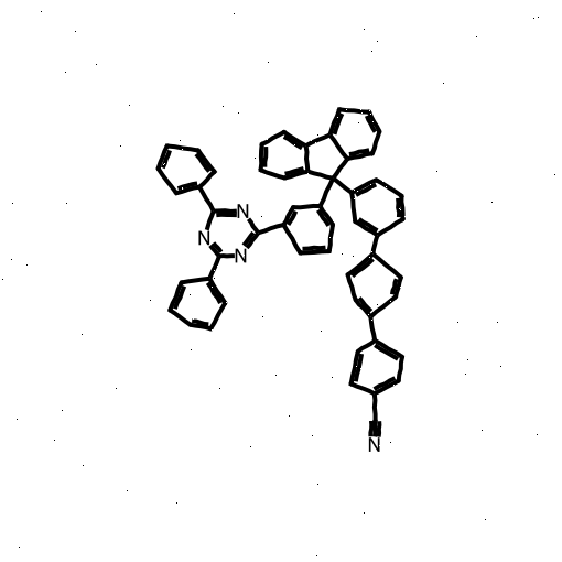 N#Cc1ccc(-c2ccc(-c3cccc(C4(c5cccc(-c6nc(-c7ccccc7)nc(-c7ccccc7)n6)c5)c5ccccc5-c5ccccc54)c3)cc2)cc1